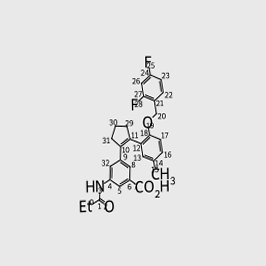 CCC(=O)Nc1cc(C(=O)O)cc(C2=C(c3cc(C)ccc3OCc3ccc(F)cc3F)CCC2)c1